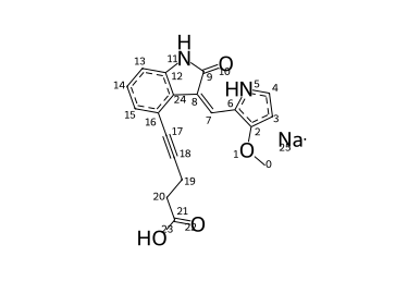 COc1cc[nH]c1C=C1C(=O)Nc2cccc(C#CCCC(=O)O)c21.[Na]